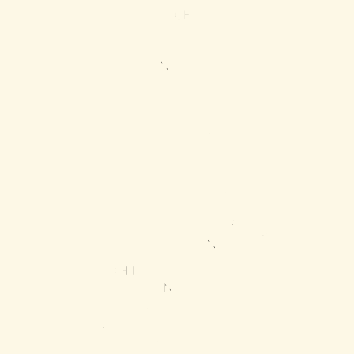 O=C(c1ccc(-c2ccc(C(F)(F)F)nc2)cc1)N1CCN(C(=O)C2(O)CC2)CC1